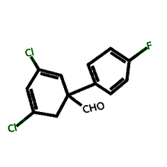 O=CC1(c2ccc(F)cc2)C=C(Cl)C=C(Cl)C1